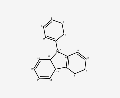 C1=CCCC(N2C3=C(CCC=C3)C3C=CC=CC32)=C1